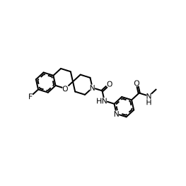 CNC(=O)c1ccnc(NC(=O)N2CCC3(CCc4ccc(F)cc4O3)CC2)c1